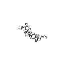 N#C/C=C/S(=O)(=O)c1ccc(NS(=O)(=O)c2ccc(Cl)c([N+](=O)[O-])c2)cc1